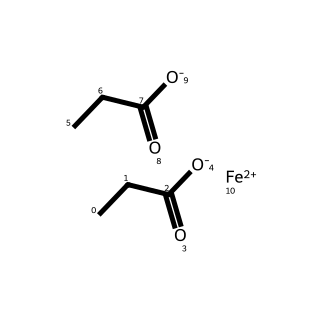 CCC(=O)[O-].CCC(=O)[O-].[Fe+2]